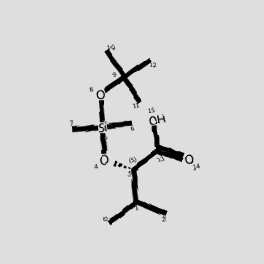 CC(C)[C@H](O[Si](C)(C)OC(C)(C)C)C(=O)O